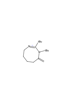 C=C1CCCC/N=C(/C(C)(C)C)N1C(C)(C)C